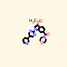 C[S+]([O-])c1cn(-c2ncc(-c3cccnc3)cn2)c2cc(C(=O)N3CCOCC3)ccc12